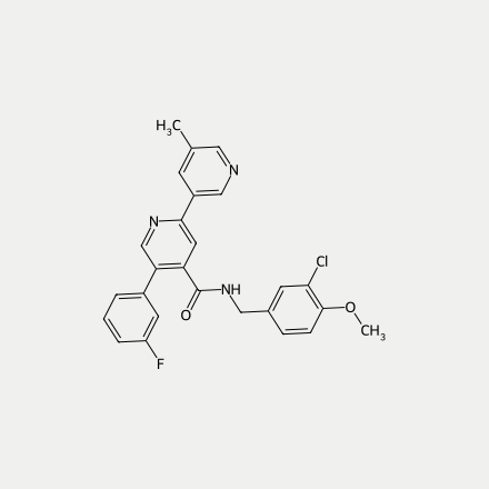 COc1ccc(CNC(=O)c2cc(-c3cncc(C)c3)ncc2-c2cccc(F)c2)cc1Cl